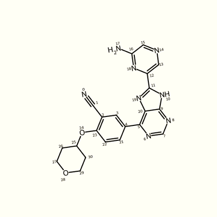 N#Cc1cc(-c2ncnc3[nH]c(-c4cncc(N)n4)nc23)ccc1OC1CCOCC1